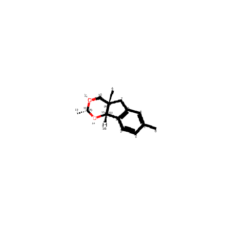 Cc1ccc2c(c1)C[C@@]1(C)CO[C@@H](C)O[C@@H]21